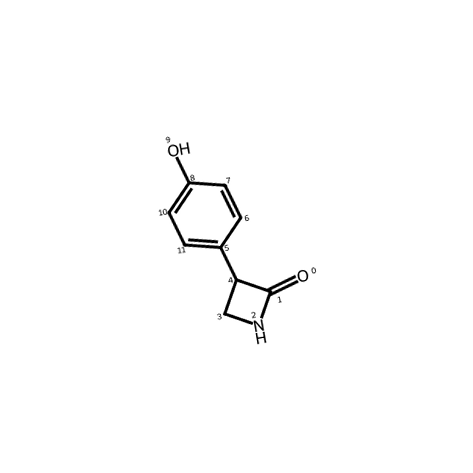 O=C1NCC1c1ccc(O)cc1